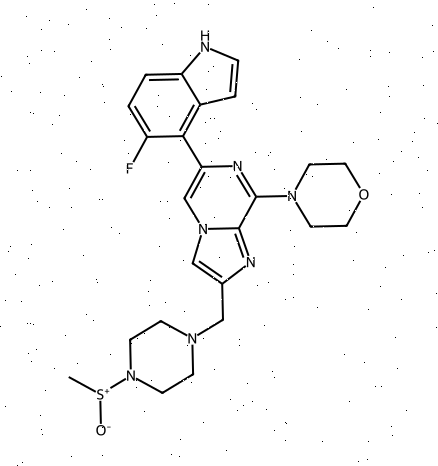 C[S+]([O-])N1CCN(Cc2cn3cc(-c4c(F)ccc5[nH]ccc45)nc(N4CCOCC4)c3n2)CC1